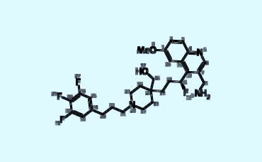 COc1ccc2ncc(CN)c([C@@H](F)CCC3(CO)CCN(CCCc4cc(F)c(F)c(F)c4)CC3)c2c1